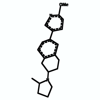 COc1ccc(-c2ccc3c(c2)CCC(N2CCCC2C)C3)cn1